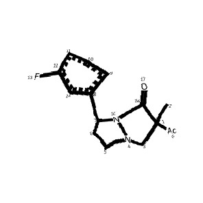 CC(=O)C1(C)CN2CCC(c3cccc(F)c3)N2C1=O